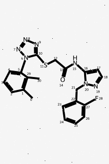 Cc1cccc(-n2nnnc2SCC(=O)Nc2ccnn2Cc2ccccc2F)c1C